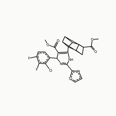 COC(=O)C1=C(C23C4C5C2C2C3C4C52C(=O)OC)NC(c2nccs2)=NC1c1ccc(F)c(F)c1Cl